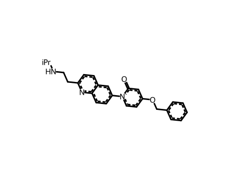 CC(C)NCCc1ccc2cc(-n3ccc(OCc4ccccc4)cc3=O)ccc2n1